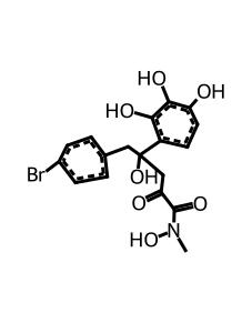 CN(O)C(=O)C(=O)CC(O)(Cc1ccc(Br)cc1)c1ccc(O)c(O)c1O